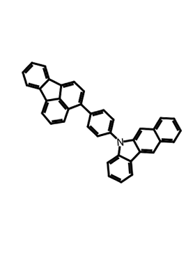 c1ccc2c(c1)-c1cccc3c(-c4ccc(-n5c6ccccc6c6cc7ccccc7cc65)cc4)ccc-2c13